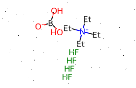 CC[N+](CC)(CC)CC.F.F.F.F.[O-]B(O)O